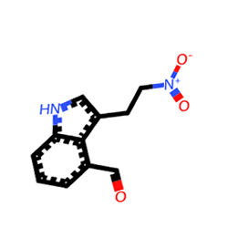 O=Cc1cccc2[nH]cc(CC[N+](=O)[O-])c12